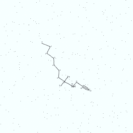 CCCCCCCC(C)(C)NCC#N